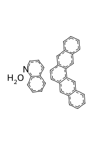 O.c1ccc2cc3c(ccc4cc5ccccc5cc43)cc2c1.c1ccc2ncccc2c1